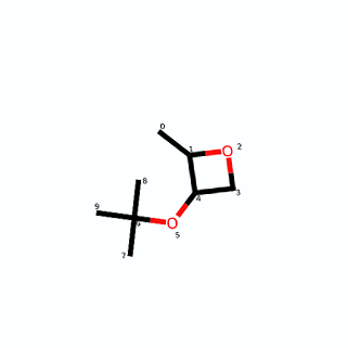 CC1OCC1OC(C)(C)C